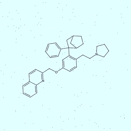 c1ccc(C2(c3cc(OCc4ccc5ccccc5n4)ccc3CCN3CCCC3)CC3CCC2C3)cc1